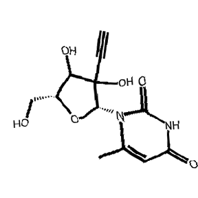 C#CC1(O)C(O)[C@@H](CO)O[C@H]1n1c(C)cc(=O)[nH]c1=O